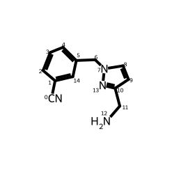 N#Cc1cccc(Cn2ccc(CN)n2)c1